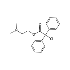 CN(C)CCOC(=O)C(Cl)(c1ccccc1)c1ccccc1